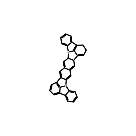 C1=C2c3c(c4ccccc4n3C3C=c4cc5c6cccc7c8ccccc8n(c5cc4=CC23)c76)CC1